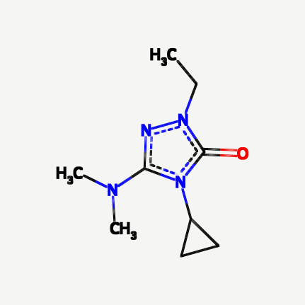 CCn1nc(N(C)C)n(C2CC2)c1=O